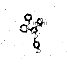 COc1ccc(COc2cc(N3C[C@@H]4C[C@H]3CO4)cc(N3CCCCC[C@@H]3Cc3ccccc3)n2)cc1